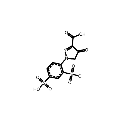 O=C(O)C1=NN(c2ccc(S(=O)(=O)O)cc2S(=O)(=O)O)CC1=O